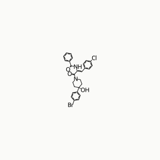 O=C(NC(=Cc1ccc(Cl)cc1)C(=O)N1CCC(O)(c2ccc(Br)cc2)CC1)c1ccccc1